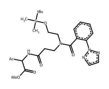 COC(=O)C(NC(=O)CCN(CCO[Si](C)(C)C(C)(C)C)C(=O)c1ccccc1-n1nccn1)C(C)=O